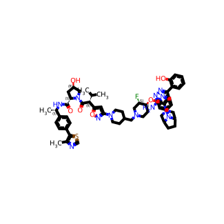 Cc1ncsc1-c1ccc([C@H](C)NC(=O)[C@@H]2C[C@@H](O)CN2C(=O)[C@@H](c2cc(N3CCC(CN4CC[C@H](Oc5cc(N6C7CCC6CN(c6cc(-c8ccccc8O)nnc6N)C7)ccn5)[C@@H](F)C4)CC3)no2)C(C)C)cc1